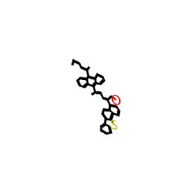 C/C=C\C=C(/C)c1c2ccccc2c(/C(C)=C/C=C2\COc3ccc4c(ccc5c6ccccc6sc45)c32)c2ccccc12